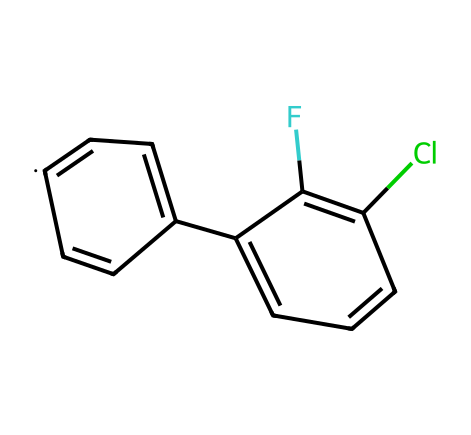 Fc1c(Cl)cccc1-c1cc[c]cc1